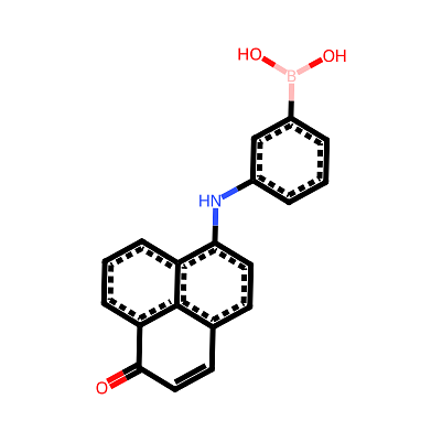 O=C1C=Cc2ccc(Nc3cccc(B(O)O)c3)c3cccc1c23